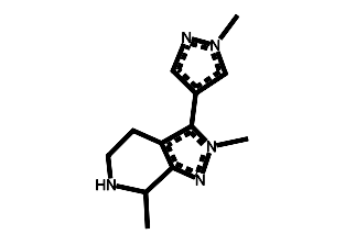 CC1NCCc2c1nn(C)c2-c1cnn(C)c1